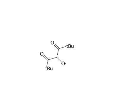 CC(C)(C)C(=O)C([O])C(=O)C(C)(C)C